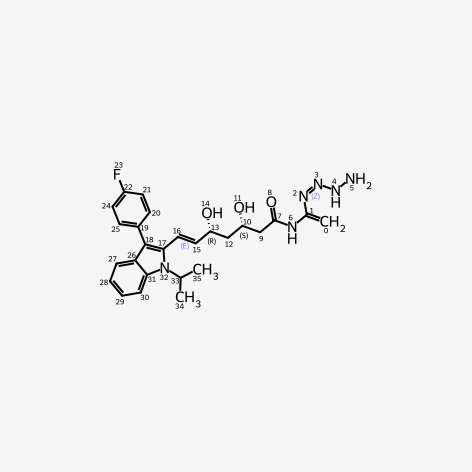 C=C(/N=N\NN)NC(=O)C[C@@H](O)C[C@@H](O)/C=C/c1c(-c2ccc(F)cc2)c2ccccc2n1C(C)C